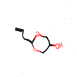 C=CCC1OCC(O)CO1